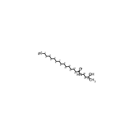 CC(C)CCCCCCCCCCCCCCC(=O)NCCC(C)O